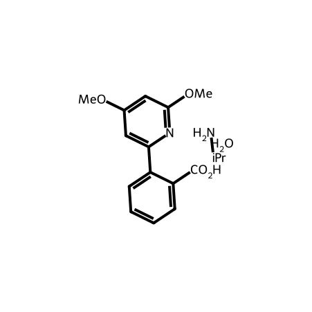 CC(C)N.COc1cc(OC)nc(-c2ccccc2C(=O)O)c1.O